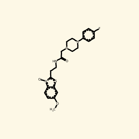 COc1ccc2c(c1)sc(CCNC(=O)CN1CCN(c3ccc(F)cc3)CC1)[n+]2[O-]